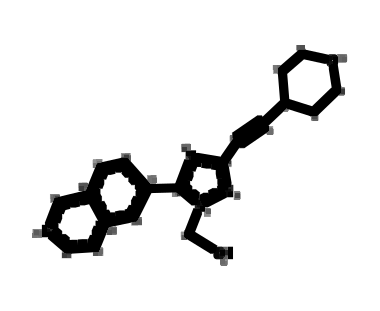 OCn1nc(C#CC2CCOCC2)nc1-c1ccc2cnccc2c1